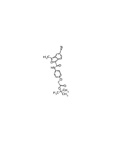 Cc1oc(C(=O)Nc2ccc(OCC(=O)OC(C)(C)C)cc2)c2ccc(C#N)cc12